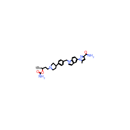 Cc1cc(C(N)=O)nn1-c1ccc2c(ccn2Cc2ccc(C3CCN(CCC(OC(N)=O)C(C)(C)C)CC3)cc2)c1